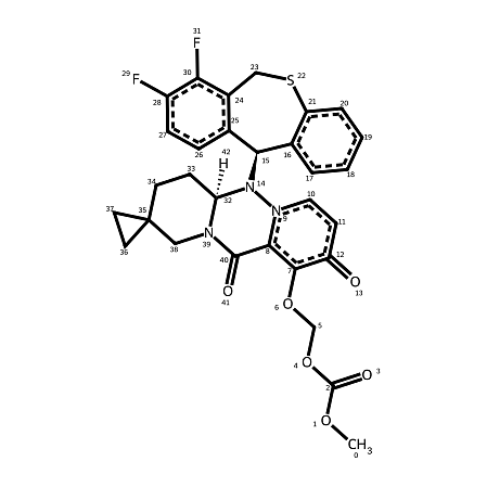 COC(=O)OCOc1c2n(ccc1=O)N([C@@H]1c3ccccc3SCc3c1ccc(F)c3F)[C@@H]1CCC3(CC3)CN1C2=O